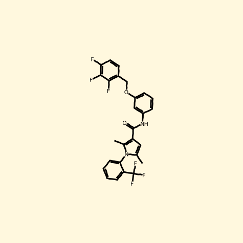 Cc1cc(C(=O)Nc2cccc(OCc3ccc(F)c(F)c3F)c2)c(C)n1-c1ccccc1C(F)(F)F